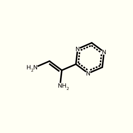 NC=C(N)c1ncncn1